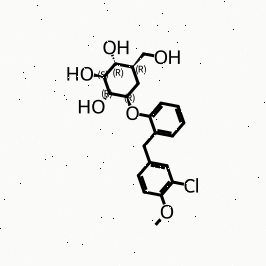 COc1ccc(Cc2ccccc2O[C@@H]2C[C@H](CO)[C@@H](O)[C@H](O)[C@H]2O)cc1Cl